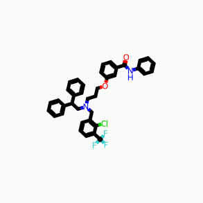 O=C(Nc1ccccc1)c1cccc(OCCCN(Cc2cccc(C(F)(F)F)c2Cl)CC(c2ccccc2)c2ccccc2)c1